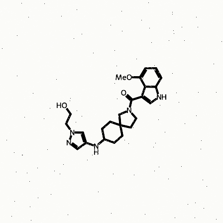 COC1=CC=CC2NC=C(C(=O)N3CCC4(CCC(Nc5cnn(CCO)c5)CC4)C3)C12